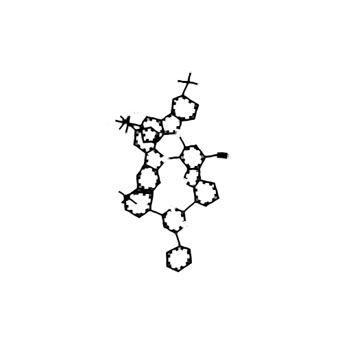 CC(C)(C)c1ccc2c(c1)c1cc(C(C)(C)C)ccc1n2-c1cc(C#N)c2c(oc3c(-c4nc(-c5ccccc5)cc(-c5ccccc5)n4)cccc32)c1-n1c2ccc(C(C)(C)C)cc2c2cc(C(C)(C)C)ccc21